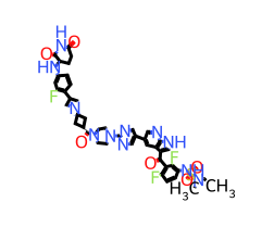 CCN(C)S(=O)(=O)Nc1ccc(F)c(C(=O)c2c[nH]c3ncc(-c4cnc(N5CCN(C(=O)[C@H]6C[C@H](N7CC(c8ccc(NC9CCC(=O)NC9=O)cc8F)C7)C6)CC5)nc4)cc23)c1F